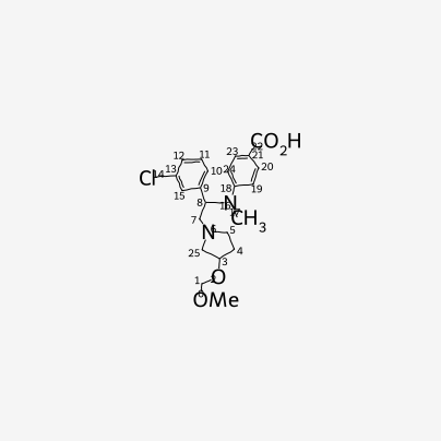 COCOC1CCN(CC(c2cccc(Cl)c2)N(C)c2ccc(C(=O)O)cc2)C1